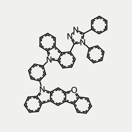 c1ccc(-c2nnc(-c3cccc4c3c3ccccc3n4-c3cccc(-n4c5ccccc5c5cc6c(cc54)oc4ccccc46)c3)n2-c2ccccc2)cc1